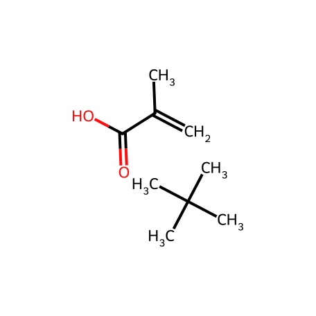 C=C(C)C(=O)O.CC(C)(C)C